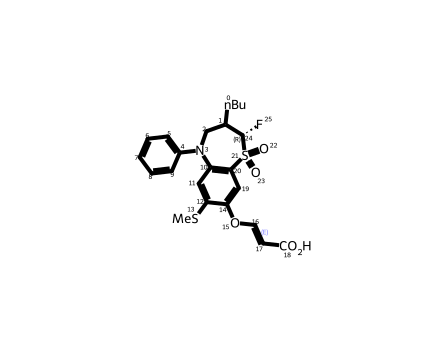 CCCCC1CN(c2ccccc2)c2cc(SC)c(O/C=C/C(=O)O)cc2S(=O)(=O)[C@H]1F